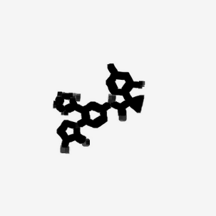 CCC1CCN(c2ccc(NC(=O)C3(c4ccc(C)cc4F)CC3)cc2-c2nnn[nH]2)C1=O